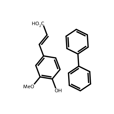 COc1cc(C=CC(=O)O)ccc1O.c1ccc(-c2ccccc2)cc1